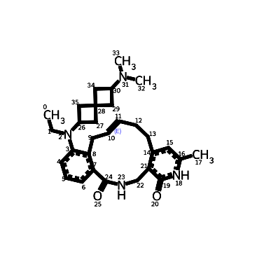 CCN(c1cccc2c1C/C=C/CCc1cc(C)[nH]c(=O)c1CNC2=O)C1CC2(CC(N(C)C)C2)C1